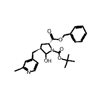 Cc1cc(C[C@H]2C[C@H](C(=O)OCc3ccccc3)N(C(=O)OC(C)(C)C)C2O)ccn1